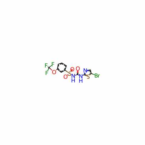 O=C(Nc1ncc(Br)s1)NS(=O)(=O)c1cccc(OC(F)(F)F)c1